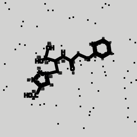 O=C(CSc1ccccn1)NC(Cn1cc(C(=O)O)nn1)B(O)O